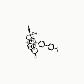 CC#C[C@]1(O)CC[C@H]2[C@@H]3C=CC4=CC(=O)CC[C@@H]4[C@H]3[C@@H](c3ccc(-c4ccc(SC)cc4)cc3)C[C@@]21C